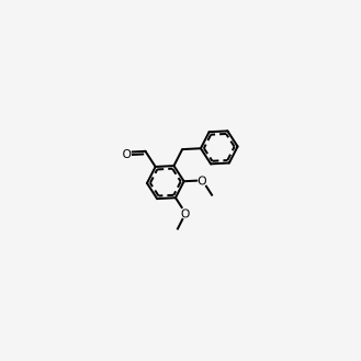 COc1ccc(C=O)c(Cc2ccccc2)c1OC